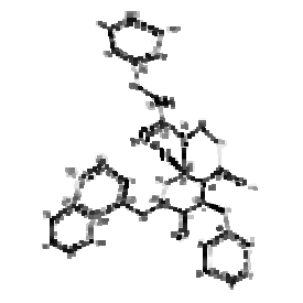 O=C1[C@H](Cc2cc[c]cc2)N2C(=O)CCN(C(=O)NCc3ccccc3)[C@H]2CN1Cc1cccc2ccccc12